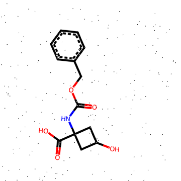 O=C(NC1(C(=O)O)CC(O)C1)OCc1ccccc1